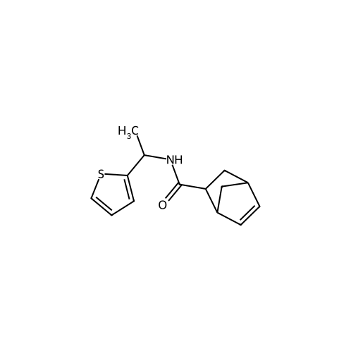 CC(NC(=O)C1CC2C=CC1C2)c1cccs1